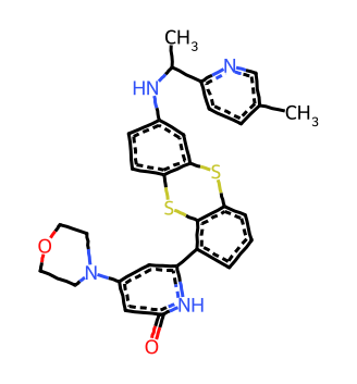 Cc1ccc(C(C)Nc2ccc3c(c2)Sc2cccc(-c4cc(N5CCOCC5)cc(=O)[nH]4)c2S3)nc1